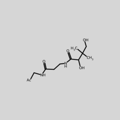 CC(=O)CNC(=O)CCNC(=O)C(O)C(C)(C)CO